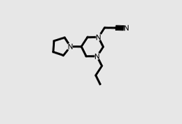 CCCN1CC(N2CCCC2)CN(CC#N)C1